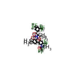 COc1cc(C(F)(F)F)c(N(C)C(=O)C(F)(F)F)cc1C1=C(CN2C(=O)O[C@H](c3cc(C(F)(F)F)cc(C(F)(F)F)c3)[C@@H]2C)CC(C)(C)CC1